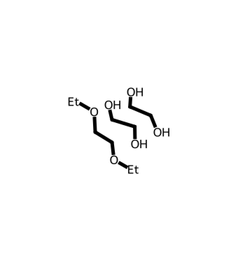 CCOCCOCC.OCCO.OCCO